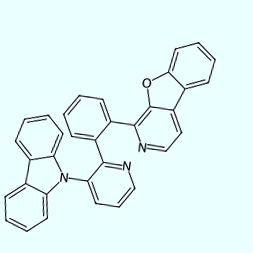 c1ccc(-c2nccc3c2oc2ccccc23)c(-c2ncccc2-n2c3ccccc3c3ccccc32)c1